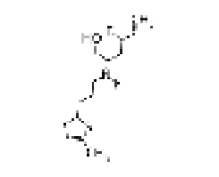 C=CC(F)CC(CO)N(F)CCCC1CC=C(C)S1